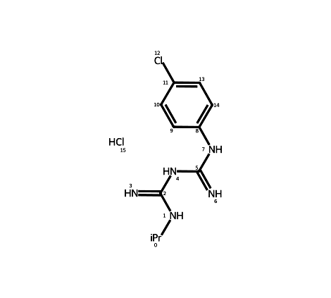 CC(C)NC(=N)NC(=N)Nc1ccc(Cl)cc1.Cl